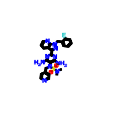 CN(C)S(=O)(=O)N(Cc1ccncc1)c1c(N)nc(-c2nn(Cc3ccccc3F)c3ncccc23)nc1N